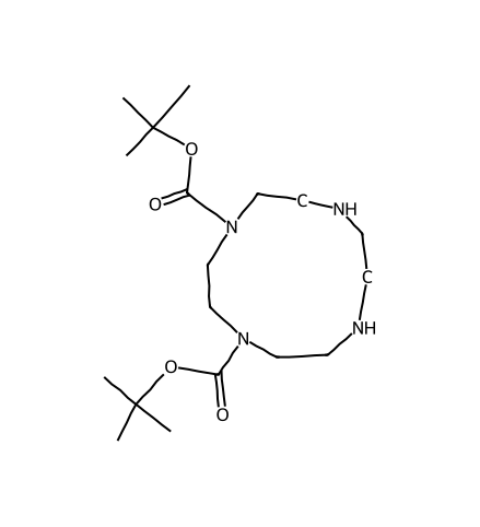 CC(C)(C)OC(=O)N1CCNCCNCCN(C(=O)OC(C)(C)C)CC1